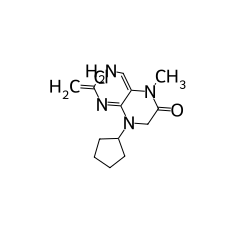 C=C(Cl)/N=C1\C(=C/N)N(C)C(=O)CN1C1CCCC1